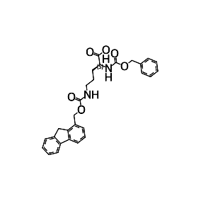 O=C(NCCC[C@H](NC(=O)OCc1ccccc1)C(=O)O)OCc1cccc2c1Cc1ccccc1-2